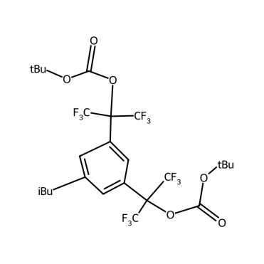 CCC(C)c1cc(C(OC(=O)OC(C)(C)C)(C(F)(F)F)C(F)(F)F)cc(C(OC(=O)OC(C)(C)C)(C(F)(F)F)C(F)(F)F)c1